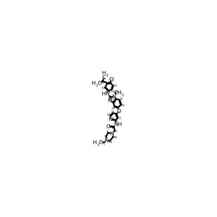 CCN1CCN(CC(=O)Nc2cc(Oc3ccc4c(c3)nc(Nc3ccc(Cl)c(C(C)C)c3)n4C)ccn2)CC1